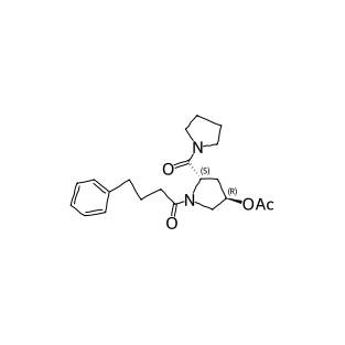 CC(=O)O[C@@H]1C[C@@H](C(=O)N2CCCC2)N(C(=O)CCCc2ccccc2)C1